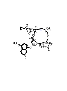 COc1cnc(O[C@@H]2C[C@H]3C(=O)N[C@]4(C(=O)NS(=O)(=O)C5CC5)C[C@H]4/C=C\[C@H](C)CCC[C@@H](C)[C@H](NC(=O)O)C(=O)N3C2)c2cc(F)ccc12